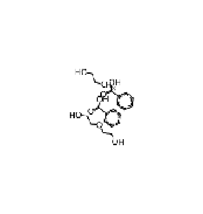 CCCO.O=C(O)c1ccccc1.O=C(O)c1ccccc1.OCCOCCO